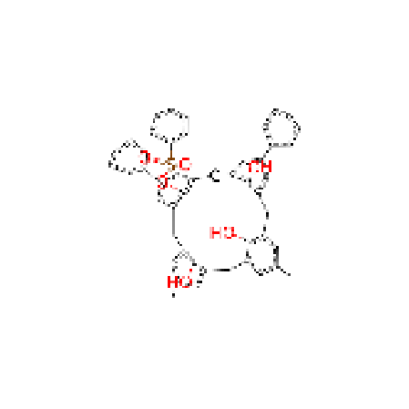 Cc1cc2c(O)c(c1)Cc1cc(-c3ccccc3)cc(c1O)Cc1cc(-c3ccccc3)cc(c1OS(=O)(=O)c1ccccc1)Cc1cc(C)cc(c1O)C2